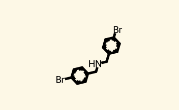 Brc1ccc(CNCc2ccc(Br)cc2)cc1